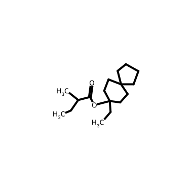 CCC(C)C(=O)OC1(CC)CCC2(CCCC2)CC1